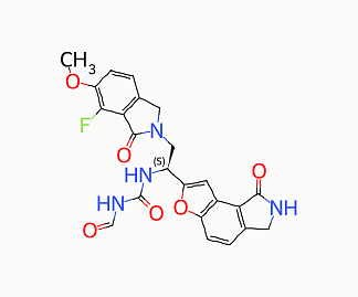 COc1ccc2c(c1F)C(=O)N(C[C@H](NC(=O)NC=O)c1cc3c4c(ccc3o1)CNC4=O)C2